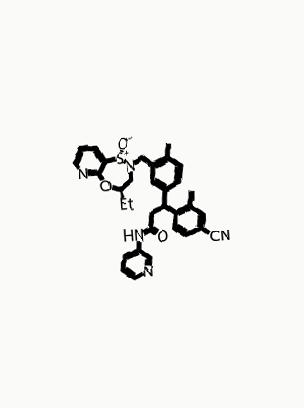 CC[C@@H]1CN(Cc2cc(C(CC(=O)Nc3cccnc3)c3ccc(C#N)cc3C)ccc2C)[S+]([O-])c2cccnc2O1